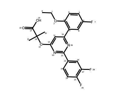 CCOc1ccc(F)cc1-c1cc(OC(C)(C)C(=O)O)nc(-c2ccc(F)c(F)c2)n1